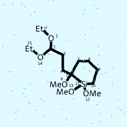 CCOC(CCC1(OC)CCCC[Si]1(OC)OC)OCC